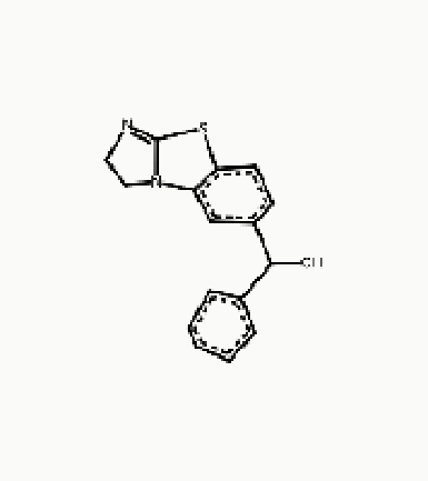 OC(c1ccccc1)c1ccc2c(c1)N1CCN=C1S2